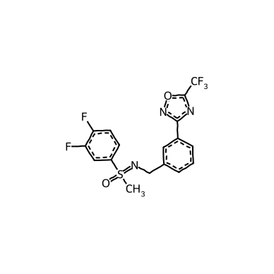 CS(=O)(=NCc1cccc(-c2noc(C(F)(F)F)n2)c1)c1ccc(F)c(F)c1